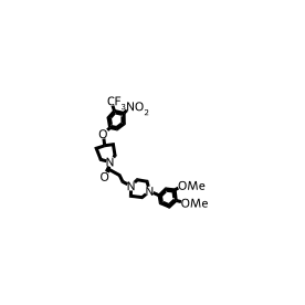 COc1ccc(N2CCN(CCC(=O)N3CCC(Oc4ccc([N+](=O)[O-])c(C(F)(F)F)c4)CC3)CC2)cc1OC